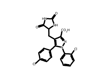 O=C1NC(=O)C(Cc2c(C(=O)O)nn(-c3ccccc3Cl)c2-c2ccc(Cl)cc2)N1